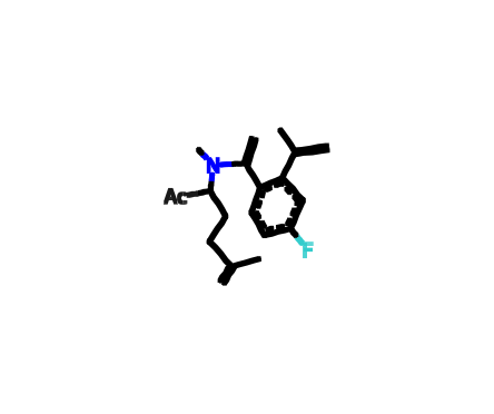 C=C(C)CCC(C(C)=O)N(C)C(=C)c1ccc(F)cc1C(=C)C